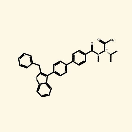 CC(C)[C@@H](C(=O)O)N(C)C(=O)c1ccc(-c2ccc(-c3c(Cc4ccccc4)oc4ccccc34)cc2)cc1